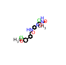 COC1=CCC=C(c2cccc(CC(=O)Nc3ccc(N(C)/C=C(/Cl)C(=O)NC=O)cc3)c2)C=C1Cl